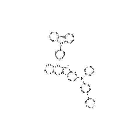 c1ccc(-c2ccc(N(c3ccccc3)c3ccc4c(c3)oc3c(-c5ccc(-n6c7ccccc7c7ccccc76)cc5)c5ccccc5cc34)cc2)cc1